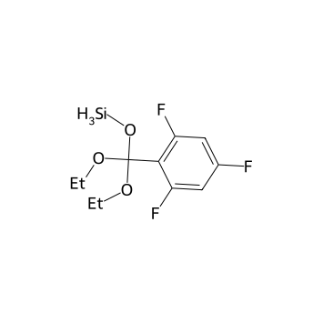 CCOC(O[SiH3])(OCC)c1c(F)cc(F)cc1F